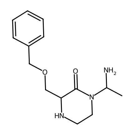 CC(N)N1CCNC(COCc2ccccc2)C1=O